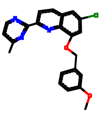 COc1cccc(COc2cc(Cl)cc3ccc(-c4nccc(C)n4)nc23)c1